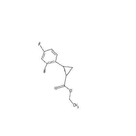 CCOC(=O)C1CC1c1ccc(F)cc1F